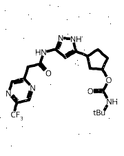 CC(C)(C)NC(=O)OC1CCC(c2cc(NC(=O)Cc3cnc(C(F)(F)F)cn3)n[nH]2)C1